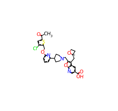 CC(=O)c1cc(Cl)c(COc2cccc(C3CCN(Cc4oc5ncc(C(=O)O)cc5c4C[C@@H]4CCO4)CC3)n2)s1